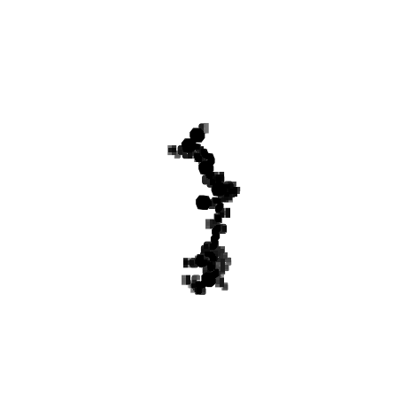 Cc1ncsc1-c1ccc([C@H](C)NC(=O)C[C@@H]2C[C@@H](O)CN2C(=O)C(NC(=O)CCCCC(=O)NCCNCC[C@H](CSc2ccccc2)Nc2ccc(S(=O)(=O)NC(=O)c3ccc4c(c3)CCC3CN(CC5=C(c6ccc(Cl)cc6)CCC(C)(C)C5)CCN43)cc2S(=O)(=O)C(F)(F)F)C(C)(C)C)cc1